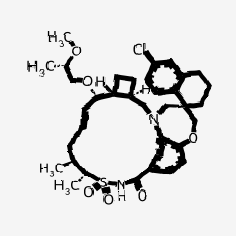 CO[C@@H](C)CO[C@H]1/C=C/C[C@H](C)[C@@H](C)S(=O)(=O)NC(=O)c2ccc3c(c2)N(C[C@@H]2CC[C@H]21)C[C@@]1(CCCc2cc(Cl)ccc21)CO3